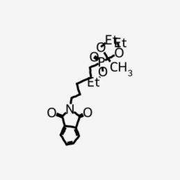 CCOC(C)(OCC)P(=O)(CCCCCN1C(=O)c2ccccc2C1=O)OCC